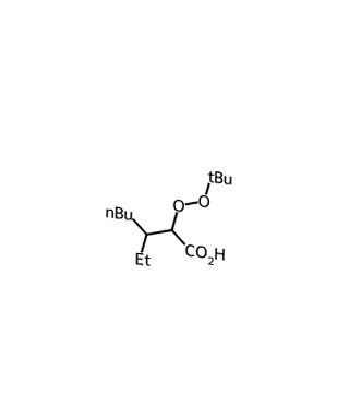 CCCCC(CC)C(OOC(C)(C)C)C(=O)O